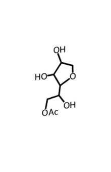 CC(=O)OCC(O)C1OCC(O)C1O